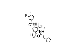 Cc1ccc(NC(=O)c2ccc(F)c(F)c2)c(C)c1NC(=O)CCC1CCCC1